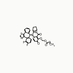 COC(=O)OCOc1c2n(ccc1=O)N(C1c3ccccc3-c3scnc3-c3c1ccc(F)c3F)C1C3CCC(C3)N1C2=O